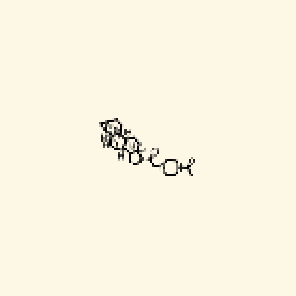 CC(=O)N1CCN(CC(=O)[C@H]2CC[C@H]3[C@@H]4CC[C@H]5C6C[C@@]6(O)CC[C@]5(CO)[C@H]4CC[C@]23C)CC1